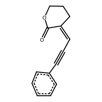 O=C1OCCCC1=CC#Cc1ccccc1